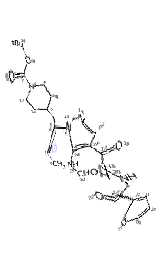 C/C=C(/C1CCN(C(=O)OC(C)(C)C)CC1)n1ncc(C(=O)NNC(=O)c2ccco2)c1NC=O